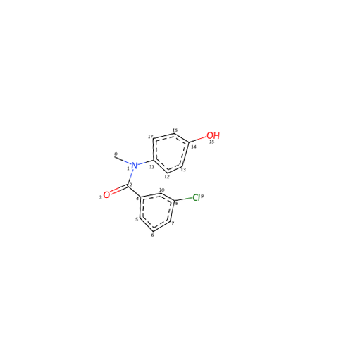 CN(C(=O)c1cccc(Cl)c1)c1ccc(O)cc1